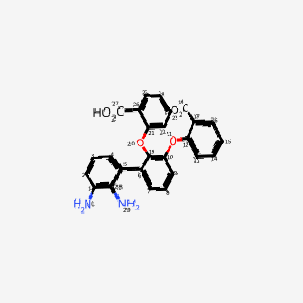 Nc1cccc(-c2cccc(Oc3ccccc3C(=O)O)c2Oc2ccccc2C(=O)O)c1N